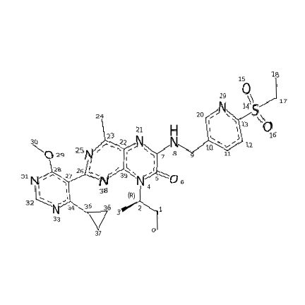 CC[C@@H](C)n1c(=O)c(NCc2ccc(S(=O)(=O)CC)nc2)nc2c(C)nc(-c3c(OC)ncnc3C3CC3)nc21